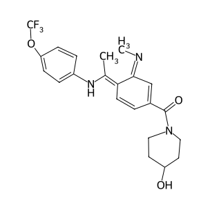 C/N=C1/C=C(C(=O)N2CCC(O)CC2)C=C/C1=C(/C)Nc1ccc(OC(F)(F)F)cc1